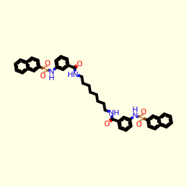 O=C(NCCCCCCCCNC(=O)c1cccc(NS(=O)(=O)c2ccc3ccccc3c2)c1)c1cccc(NS(=O)(=O)c2ccc3ccccc3c2)c1